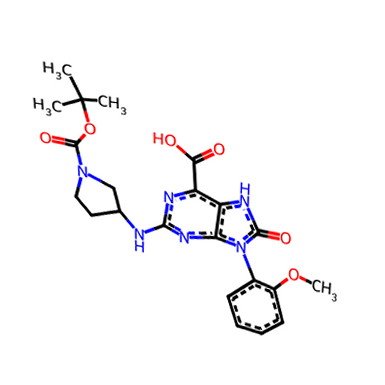 COc1ccccc1-n1c(=O)[nH]c2c(C(=O)O)nc(NC3CCN(C(=O)OC(C)(C)C)C3)nc21